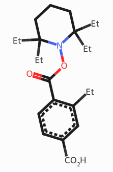 CCc1cc(C(=O)O)ccc1C(=O)ON1C(CC)(CC)CCCC1(CC)CC